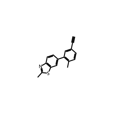 C#Cc1ccc(C)c(-c2ccc3nc(C)sc3c2)c1